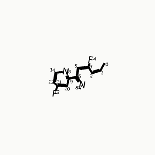 C\C=C/C(F)=C\C(=N\C)c1cc(F)ccn1